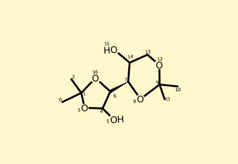 CC1(C)OC(O)C([C@@H]2OC(C)(C)OCC2O)O1